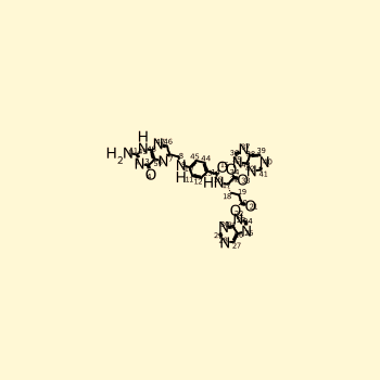 Nc1nc(=O)c2nc(CNc3ccc(C(=O)N[C@@H](CCC(=O)On4cnc5cncnc54)C(=O)On4cnc5cncnc54)cc3)cnc2[nH]1